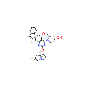 CC1=C(F)C2(Cc3nc(OC[C@@]45CCCN4C[C@H](C)C5)nc4c3C(C2)OCC2CC(O)CCN42)c2ccccc21